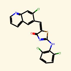 O=C1N=C(Nc2c(Cl)cccc2Cl)SC1=Cc1cc2cccnc2cc1Cl